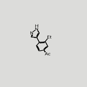 CCc1cc(C(C)=O)ccc1-c1cn[nH]c1